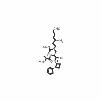 CNC(=O)N(CC[C@H](N)CCCC=O)C[C@H](NC(=O)C(C)NC)C(O)N[C@H]1CC[C@@H]1c1ccccc1